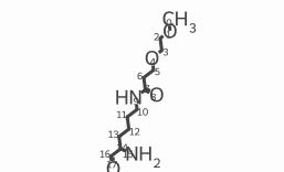 COCCOCCC(=O)NCCCCC(N)C=O